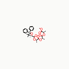 COC(=O)[C@@H](C)OC(=O)[C@@H](C)OC(=O)[C@@H](C)OC(=O)[C@H](C)O[Si](c1ccccc1)(c1ccccc1)C(C)(C)C